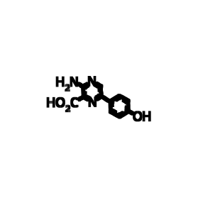 Nc1ncc(-c2ccc(O)cc2)nc1C(=O)O